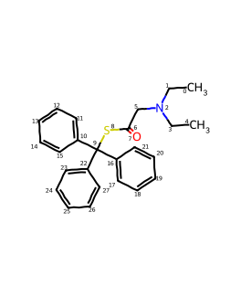 CCN(CC)CC(=O)SC(c1ccccc1)(c1ccccc1)c1ccccc1